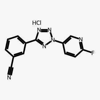 Cl.N#Cc1cccc(-c2nnn(-c3ccc(F)nc3)n2)c1